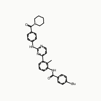 Cc1c(NC(=O)c2ccc(C(C)(C)C)cc2)cccc1-c1ccnc(Nc2ccc(C(=O)N3CCCCC3)cc2)n1